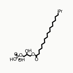 CC(C)CCCCCCCCCCCCCCCC(=O)OCC(O)COP(=O)(O)O